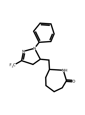 O=C1CCCCC(CC2CC(C(F)(F)F)=NN2c2ccccc2)N1